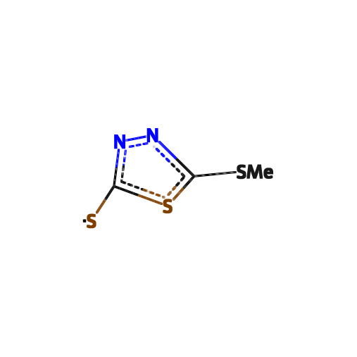 CSc1nnc([S])s1